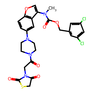 CN(C(=O)OCc1cc(Cl)cc(Cl)c1)c1coc2ccc(N3CCN(C(=O)CN4C(=O)CSC4=O)CC3)cc12